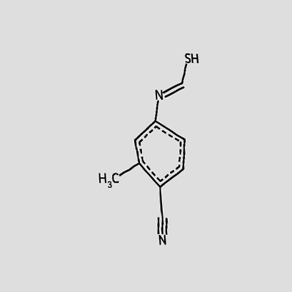 Cc1cc(N=CS)ccc1C#N